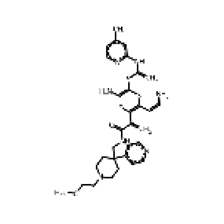 C=C(Nc1cc(C)ccn1)S/C(=C\N)SC(/C=C\N)=C(\F)C(=C)C(=O)NCC1(c2ccncc2)CCN(CCOC)CC1